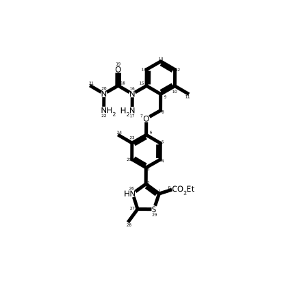 CCOC(=O)C1=C(c2ccc(OCc3c(C)cccc3N(N)C(=O)N(C)N)c(C)c2)NC(C)S1